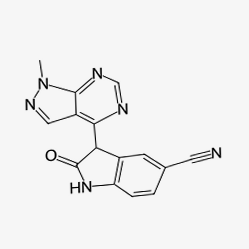 Cn1ncc2c(C3C(=O)Nc4ccc(C#N)cc43)ncnc21